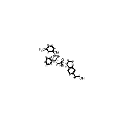 C=C(CO)c1ccc2c(c1)CCC[C@H]2NC(=O)C[C@@H](NS(=O)(=O)c1cccc(C(F)(F)F)c1)c1ccccc1